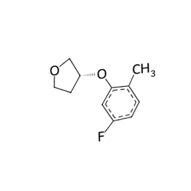 Cc1ccc(F)cc1O[C@@H]1CCOC1